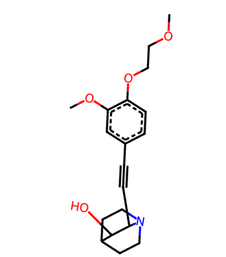 COCCOc1ccc(C#CC2C(O)C3CCN2CC3)cc1OC